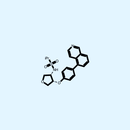 CC(C)S(=O)(=O)N[C@H]1COC[C@H]1Oc1ccc(-c2cccc3cnccc23)cc1